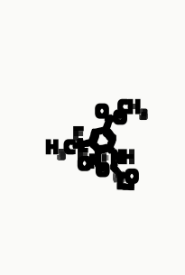 COC(=O)c1cc(NC[C@@H]2CCO2)c([N+](=O)[O-])c(C(C)(F)F)c1